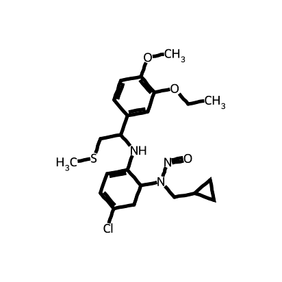 CCOc1cc(C(CSC)NC2=CC=C(Cl)CC2N(CC2CC2)N=O)ccc1OC